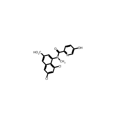 CN(C(=O)c1ccc(O)cn1)c1cc(C(=O)O)cc2cc(Cl)cc(Cl)c12